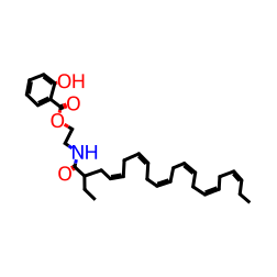 CC/C=C\C/C=C\C/C=C\C/C=C\C/C=C\C/C=C\CC(CC)C(=O)NCCOC(=O)c1ccccc1O